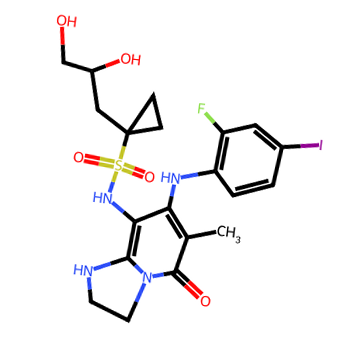 Cc1c(Nc2ccc(I)cc2F)c(NS(=O)(=O)C2(CC(O)CO)CC2)c2n(c1=O)CCN2